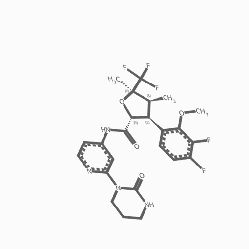 COc1c([C@H]2[C@H](C(=O)Nc3ccnc(N4CCCNC4=O)c3)O[C@@](C)(C(F)(F)F)[C@H]2C)ccc(F)c1F